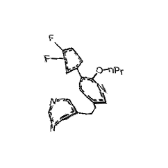 CCCOc1ncc(Cc2cncnc2)cc1-c1ccc(F)c(F)c1